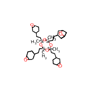 C[Si]1(CCC2CC3CC(C2)O3)O[Si](C)(CCC2CCC3OC3C2)O[Si](C)(CCC2CCC3OC3C2)O[Si](C)(CCC2CCC3OC3C2)O1